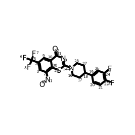 O=Nc1cc(C(F)(F)F)cc2c(=O)nc(N3CCC(c4ccc(F)c(F)c4)CC3)sc12